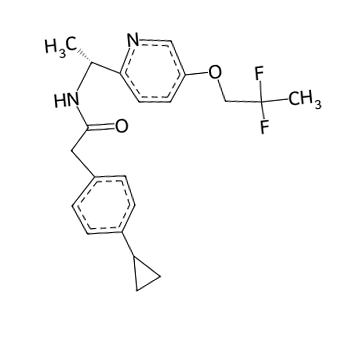 C[C@@H](NC(=O)Cc1ccc(C2CC2)cc1)c1ccc(OCC(C)(F)F)cn1